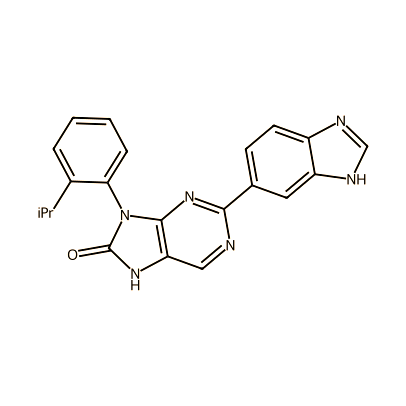 CC(C)c1ccccc1-n1c(=O)[nH]c2cnc(-c3ccc4nc[nH]c4c3)nc21